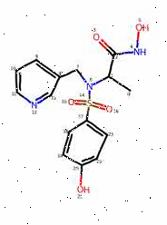 CC(C(=O)NO)N(Cc1cccnc1)S(=O)(=O)c1ccc(O)cc1